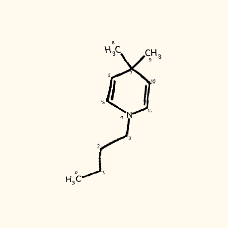 CCCCN1C=CC(C)(C)C=C1